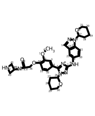 COc1cc(-c2nc(Nc3ccc4c(cnn4C4CCCCO4)c3)nn2C2CCCCO2)ccc1OCC(=O)NC1CNC1